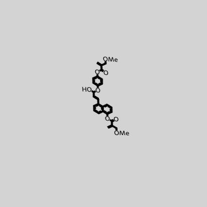 C=C(COC)C(=O)Oc1ccc(OC(O)/C=C/c2cccc3c(OC(=O)C(=C)COC)cccc23)cc1